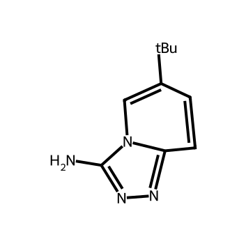 CC(C)(C)c1ccc2nnc(N)n2c1